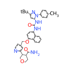 Cc1ccc(-n2nc(C(C)(C)C)cc2NC(=O)Nc2ccc(OCc3ccnc(C4COCCC4C(N)=O)c3)c3ccccc23)cc1